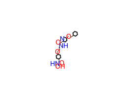 O=C(NO)c1ccc(OCCNC(=O)c2ccc(OCc3ccccc3)cn2)cc1